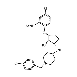 CC(=O)Nc1cc(Cl)ccc1O[C@H]1CC[C@H](NC2CCN(Cc3ccc(Cl)cc3)CC2)[C@H]1O